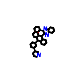 c1ccc(-c2nc3ccccc3nc2-c2c3ccccc3c(-c3cccc(-c4cccnc4)c3)c3ccccc23)cc1